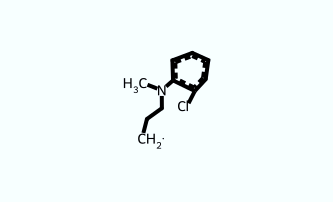 [CH2]CCN(C)c1ccccc1Cl